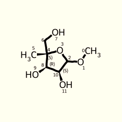 COC1O[C@@](C)(CO)[C@H](O)[C@@H]1O